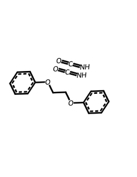 N=C=O.N=C=O.c1ccc(OCCOc2ccccc2)cc1